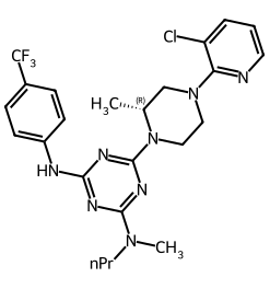 CCCN(C)c1nc(Nc2ccc(C(F)(F)F)cc2)nc(N2CCN(c3ncccc3Cl)C[C@H]2C)n1